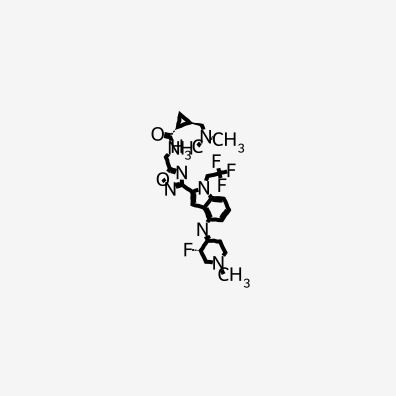 CN(C)C[C@@H]1C[C@H]1C(=O)NCc1nc(-c2cc3c(/N=C4\CCN(C)C[C@@H]4F)cccc3n2CC(F)(F)F)no1